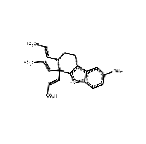 COc1ccc2[nH]c3c(c2c1)CCN(C=CC(=O)O)C3(C=CC(=O)O)C=CC(=O)O